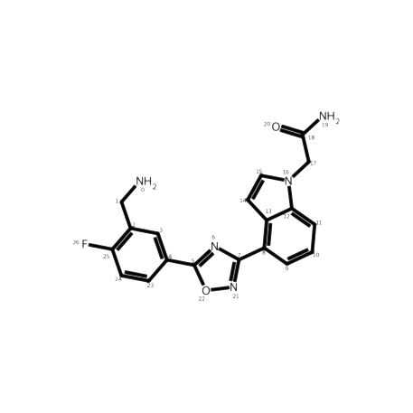 NCc1cc(-c2nc(-c3cccc4c3ccn4CC(N)=O)no2)ccc1F